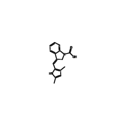 Cc1cc(C)c(/C=C2\CN(C(=O)O)c3ccccc32)[nH]1